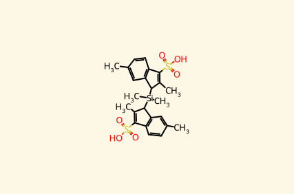 CC1=C(S(=O)(=O)O)c2ccc(C)cc2C1[Si](C)(C)C1C(C)=C(S(=O)(=O)O)c2ccc(C)cc21